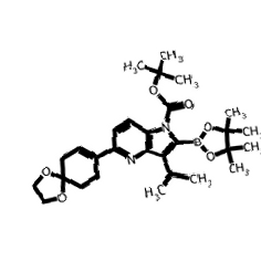 CC(C)c1c(B2OC(C)(C)C(C)(C)O2)n(C(=O)OC(C)(C)C)c2ccc(C3=CCC4(CC3)OCCO4)nc12